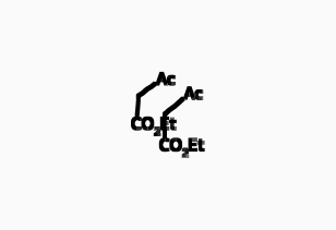 CCOC(=O)CC(C)=O.CCOC(=O)CC(C)=O